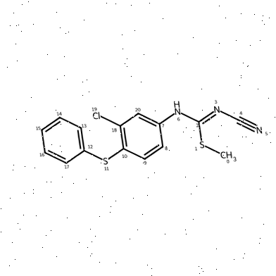 CS/C(=N\C#N)Nc1ccc(Sc2ccccc2)c(Cl)c1